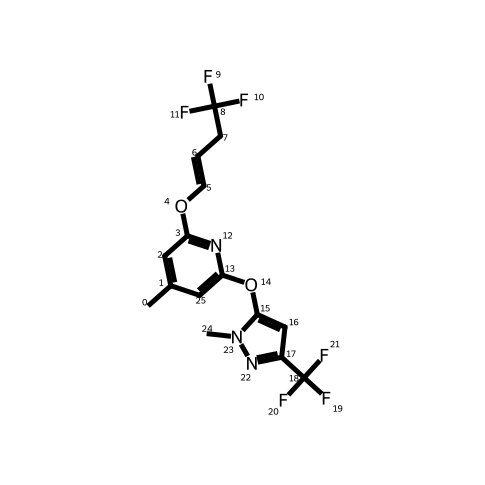 Cc1cc(O/C=C/CC(F)(F)F)nc(Oc2cc(C(F)(F)F)nn2C)c1